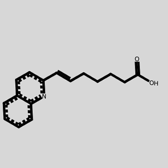 O=C(O)CCCCC=Cc1ccc2ccccc2n1